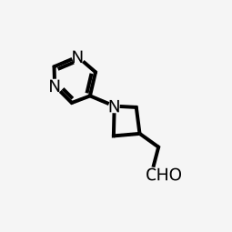 O=CCC1CN(c2cncnc2)C1